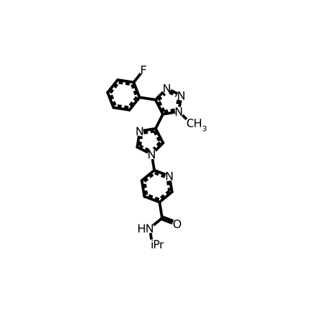 CC(C)NC(=O)c1ccc(-n2cnc(-c3c(-c4ccccc4F)nnn3C)c2)nc1